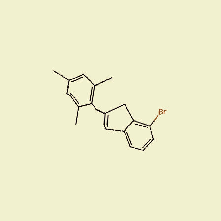 Cc1cc(C)c(C2=Cc3cccc(Br)c3C2)c(C)c1